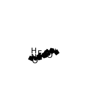 O=C(NC1CCC1)c1ccc(-c2ccc3c(c2)CCN(C2CCN(C4CCC4)C2)C3=O)c(F)c1